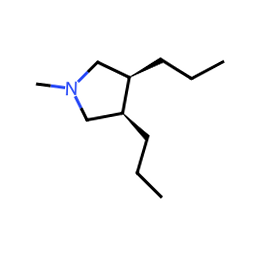 CCC[C@@H]1CN(C)C[C@@H]1CCC